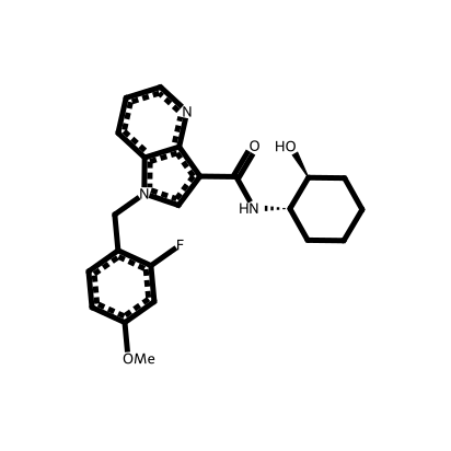 COc1ccc(Cn2cc(C(=O)N[C@H]3CCCC[C@@H]3O)c3ncccc32)c(F)c1